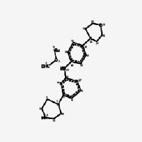 CC(C)(C)OC=O.c1cc(N2CCNCC2)nc(Nc2ccc(N3CCOCC3)cc2)n1